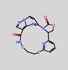 O=C1NCCCCc2cccc(n2)C2COC(=O)N2c2ccn3ncc1c3n2